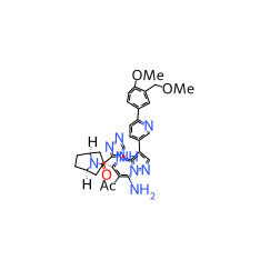 COCc1cc(-c2ccc(-c3cnn4c(N)c(C(C)=O)c([C@@H]5C[C@H]6CC[C@@H](C5)N6C(=O)c5nnc[nH]5)nc34)cn2)ccc1OC